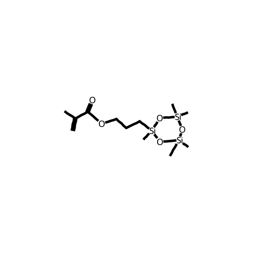 C=C(C)C(=O)OCCC[Si]1(C)O[Si](C)(C)O[Si](C)(C)O1